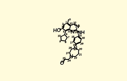 Cc1cc(O)c(C2CCCC2)c2nc(Nc3ccc(N4CCCN(CC=O)CC4)cc3)ncc12